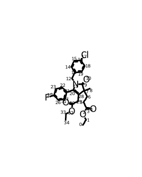 CCOC(=O)CCC1(C)C(=O)N(Cc2ccc(Cl)cc2)C(c2ccc(F)cc2)=C1CC(=O)OCC